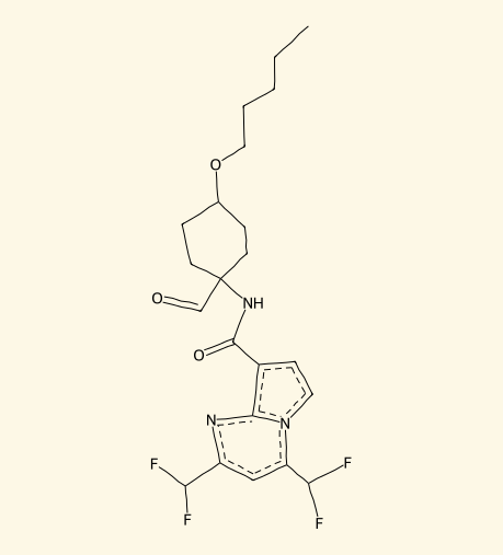 CCCCCOC1CCC(C=O)(NC(=O)c2ccn3c(C(F)F)cc(C(F)F)nc23)CC1